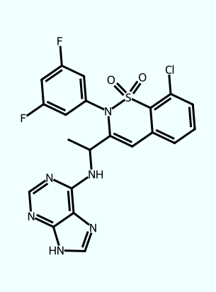 CC(Nc1ncnc2[nH]cnc12)C1=Cc2cccc(Cl)c2S(=O)(=O)N1c1cc(F)cc(F)c1